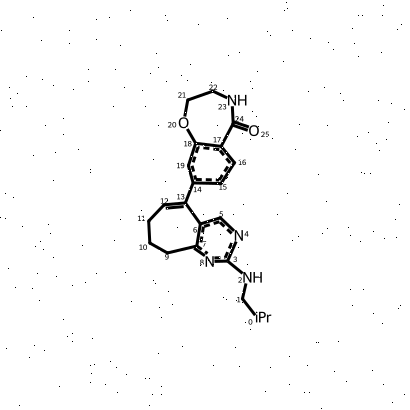 CC(C)CNc1ncc2c(n1)CCCC=C2c1ccc2c(c1)OCCNC2=O